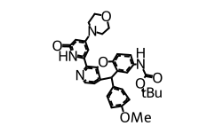 COc1ccc(C2c3cc(NC(=O)OC(C)(C)C)ccc3Oc3c2ccnc3-c2cc(N3CCOCC3)cc(=O)[nH]2)cc1